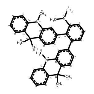 CN(C)c1cc[c]c(-c2ccc3c(c2)N(C)c2ccccc2C3(C)C)c1-c1ccc2c(c1)N(C)c1ccccc1C2(C)C